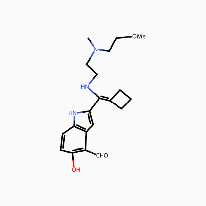 COCCN(C)CCNC(=C1CCC1)c1cc2c(C=O)c(O)ccc2[nH]1